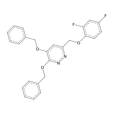 Fc1ccc(OCc2cc(OCc3ccccc3)c(OCc3ccccc3)nn2)c(F)c1